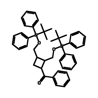 CC(C)(C)[Si](OCC1CC(C(=O)c2ccccc2)C1CO[Si](c1ccccc1)(c1ccccc1)C(C)(C)C)(c1ccccc1)c1ccccc1